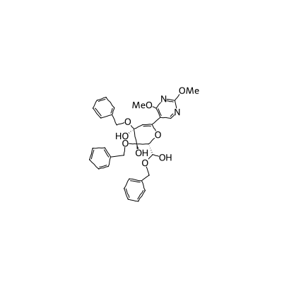 COc1ncc(C2=C[C@](O)(OCc3ccccc3)[C@@](O)(OCc3ccccc3)[C@@H](C(O)OCc3ccccc3)O2)c(OC)n1